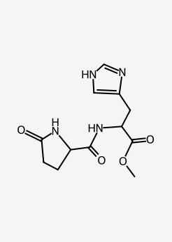 COC(=O)C(Cc1c[nH]cn1)NC(=O)C1CCC(=O)N1